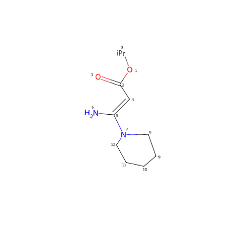 CC(C)OC(=O)/C=C(\N)N1CCCCC1